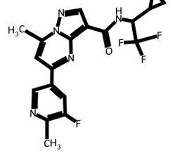 Cc1ncc(-c2cc(C)n3ncc(C(=O)NC(C4CC4)C(F)(F)F)c3n2)cc1F